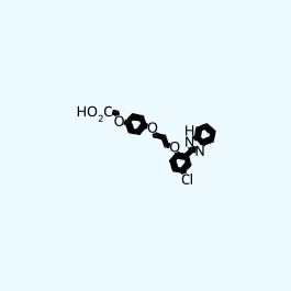 O=C(O)COc1ccc(OCCCOc2ccc(Cl)cc2-c2nc3ccccc3[nH]2)cc1